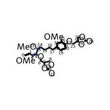 C=C/C(OC)=C(OCC1COC(=O)O1)\C(=C/CCCc1ccc(OCC2COC(=O)O2)c(OC)c1)OC